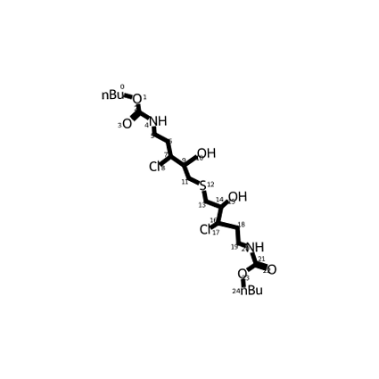 CCCCOC(=O)NCCC(Cl)C(O)CSCC(O)C(Cl)CCNC(=O)OCCCC